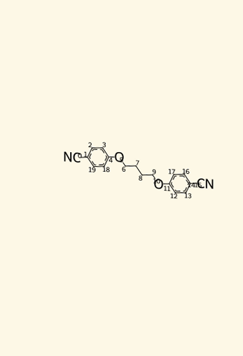 N#Cc1ccc(OCCCCOc2ccc(C#N)cc2)cc1